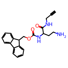 C#CCNC(=O)C(CCN)NC(=O)OCC1c2ccccc2-c2ccccc21